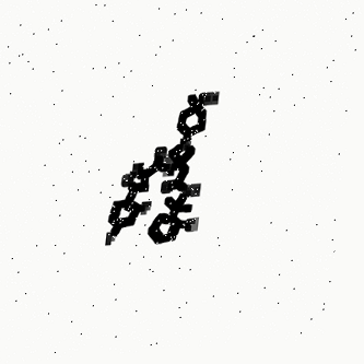 CC1(O)CCC(N2CC(CC(=O)NC(C)(C)c3ccccc3Cl)(NC(=O)c3cc(-c4ccc(F)cc4F)on3)C2)CC1